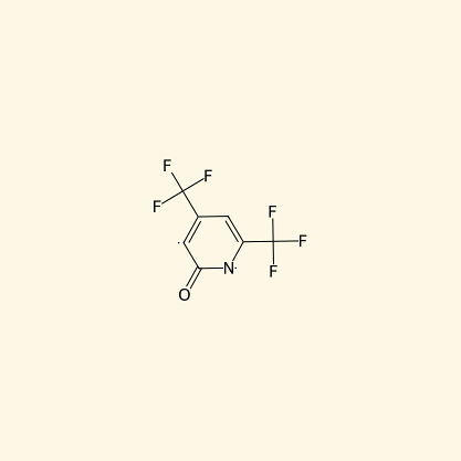 O=C1[C]=C(C(F)(F)F)C=C(C(F)(F)F)[N]1